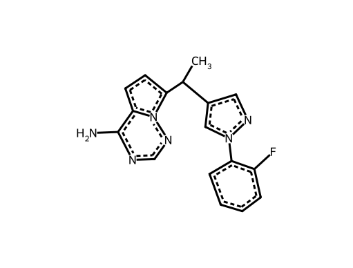 CC(c1cnn(-c2ccccc2F)c1)c1ccc2c(N)ncnn12